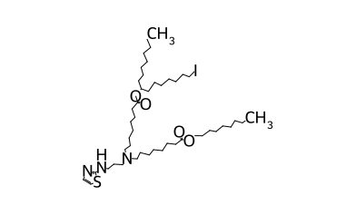 CCCCCCCCCOC(=O)CCCCCCCN(CCCCCCCC(=O)OC(CCCCCCCC)CCCCCCCI)CCCNc1nccs1